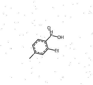 CCc1cc(C)ccc1[PH](=O)O